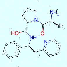 CC(C)[C@H](N)C(=O)N1CCC[C@H]1C(O)N[C@@H](Cc1ccccn1)c1ccccc1